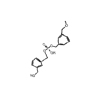 COCc1cccc(COP(=O)(O)OCc2cccc(CO)c2)c1